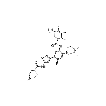 Cc1c(F)c(N)cc(C(=O)Nc2cc(-n3cc(NC(=O)C4CCN(C)CC4)nn3)c(F)cc2N2C[C@@H](C)N(C)[C@@H](C)C2)c1Cl